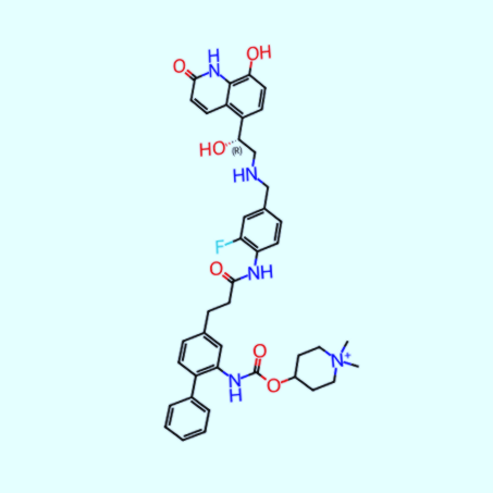 C[N+]1(C)CCC(OC(=O)Nc2cc(CCC(=O)Nc3ccc(CNC[C@H](O)c4ccc(O)c5[nH]c(=O)ccc45)cc3F)ccc2-c2ccccc2)CC1